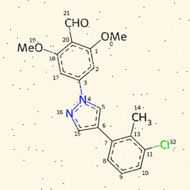 COc1cc(-n2cc(-c3cccc(Cl)c3C)cn2)cc(OC)c1C=O